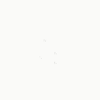 C1=NN2CCCNC2N1